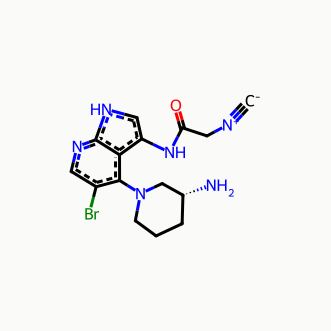 [C-]#[N+]CC(=O)Nc1c[nH]c2ncc(Br)c(N3CCC[C@@H](N)C3)c12